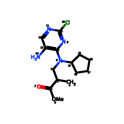 COC(=O)C(C)CN(c1nc(Cl)ncc1N)C1CCCC1